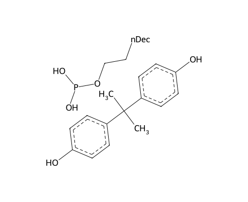 CC(C)(c1ccc(O)cc1)c1ccc(O)cc1.CCCCCCCCCCCCOP(O)O